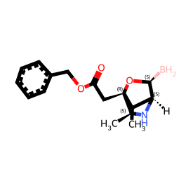 B[C@@H]1O[C@]2(CC(=O)OCc3ccccc3)C(C)[C@@H]1N[C@H]2C